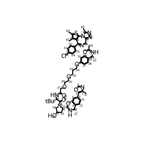 Cc1ncoc1-c1ccc([C@H](C)NC(=O)[C@@H]2C[C@@H](O)CN2C(=O)[C@@H](NC(=O)COCCOCCCOc2ccc([C@@H](C)NC(=O)C[C@@H]3N=C(c4ccc(Cl)cc4)c4c(sc(C)c4C)-n4c(C)nnc43)cc2)C(C)(C)C)cc1